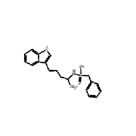 O=C(O)C(CCCc1c[nH]c2ccccc12)NP(=O)(O)Cc1ccccc1